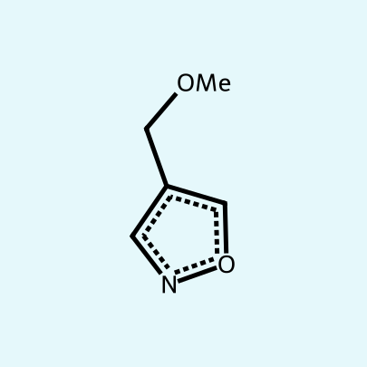 COCc1cnoc1